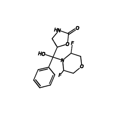 O=C1NCC(C(O)(c2ccccc2)N2C(F)COCC2F)O1